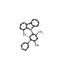 Cc1cc(C#N)c(-c2ccncc2)cc1-n1c2ccccc2c2cccc(C(F)(F)F)c21